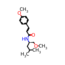 COC[C@@H](CC(C)C)NC(=O)/C=C/c1ccc(OC)cc1